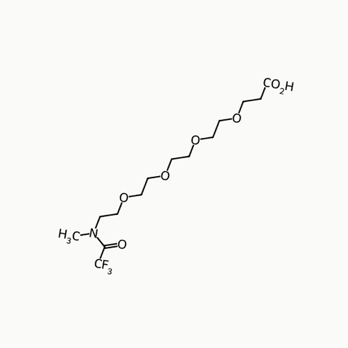 CN(CCOCCOCCOCCOCCC(=O)O)C(=O)C(F)(F)F